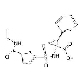 CCNC(=O)c1ccc(S(=O)(=O)N[C@]2(C(=O)O)C[C@H]2c2ccccc2)s1